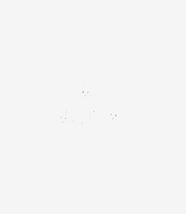 CCF.CO[SiH](OC)OC